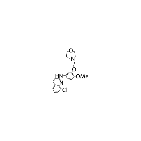 COc1ccc(Nc2ccc3cccc(Cl)c3n2)cc1OCCN1CCCOCC1